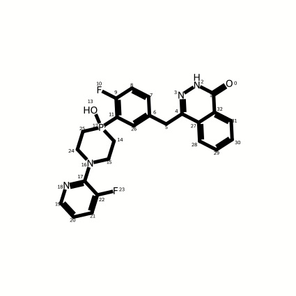 O=c1[nH]nc(Cc2ccc(F)c([P]3(O)CCN(c4ncccc4F)CC3)c2)c2ccccc12